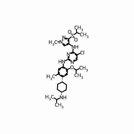 Cc1cc(Nc2ncc(Cl)c(Nc3cn(C)nc3S(=O)(=O)C(C)C)n2)c(OC(C)C)cc1[C@H]1CC[C@@H](NC(C)C)CC1